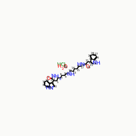 Cl.NC(=O)C(CCCCCCNCCCCCCNC(=O)Cc1c[nH]c2ccccc12)c1c[nH]c2ccccc12.O